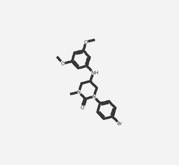 COc1cc(NC2CN(C)C(=O)N(c3ccc(Br)cc3)C2)cc(OC)c1